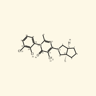 Cc1nc(N2C[C@H]3CCC[C@@]3(C)C2)c(C(F)(F)F)c(=O)n1-c1cccc(Cl)c1Cl